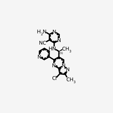 Cc1nn2cc([C@H](C)Nc3ncnc(N)c3C#N)c(-c3cccnc3)nc2c1Cl